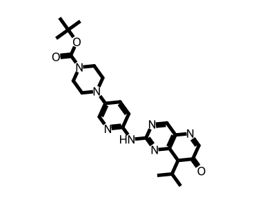 CC(C)C1C(=O)C=Nc2cnc(Nc3ccc(N4CCN(C(=O)OC(C)(C)C)CC4)cn3)nc21